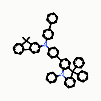 CC1(C)c2ccccc2-c2ccc(N(c3ccc(-c4ccccc4)cc3)c3ccc(-c4ccc5c(c4)N(c4ccccc4)c4ccccc4C5(c4ccccc4)c4ccccc4)cc3)cc21